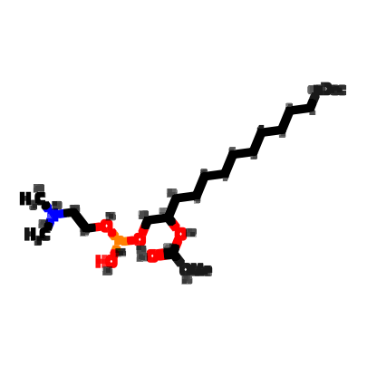 CCCCCCCCCCCCCCCCCCCCC(COP(O)OCCN(C)C)OC(=O)OC